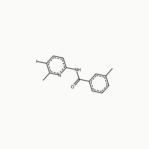 Cc1cccc(C(=O)Nc2ccc(I)c(C)n2)c1